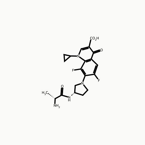 C[C@@H](N)C(=O)N[C@H]1CCN(c2c(F)cc3c(=O)c(C(=O)O)cn(C4CC4)c3c2F)C1